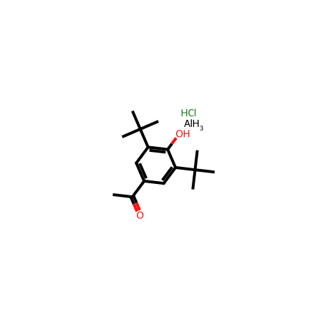 CC(=O)c1cc(C(C)(C)C)c(O)c(C(C)(C)C)c1.Cl.[AlH3]